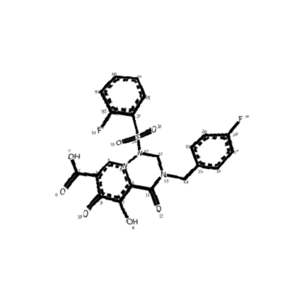 O=C(O)c1cn2c(c(O)c1=O)C(=O)N(Cc1ccc(F)cc1)CN2S(=O)(=O)c1ccccc1F